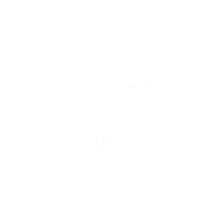 CCOC(=O)C(CCC(CC)CC)P(=O)(O)O